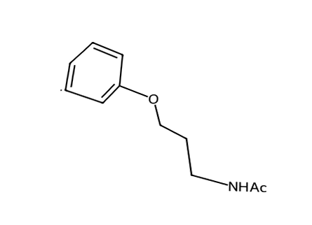 CC(=O)NCCCOc1c[c]ccc1